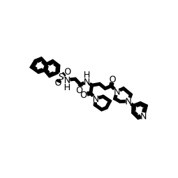 O=C(CNS(=O)(=O)c1ccc2ccccc2c1)NC(CCC(=O)N1CCN(c2ccncc2)CC1)C(=O)N1CCCCC1